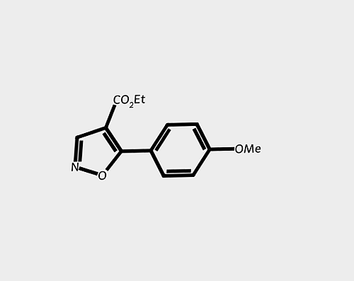 CCOC(=O)c1cnoc1-c1ccc(OC)cc1